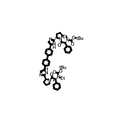 CCN(C(=O)OC(C)(C)C)[C@@H](C(=O)N1CCCC1c1ncc(-c2ccc(-c3ccc(-c4cnc([C@@H]5CCCN5C(=O)[C@@H](c5ccccc5)N(CC)C(=O)OC(C)(C)C)[nH]4)cc3)cc2)[nH]1)c1ccccc1